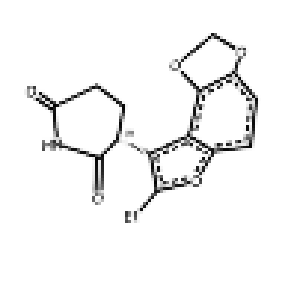 CCc1oc2ccc3c(c2c1[C@H]1CCC(=O)NC1=O)OCO3